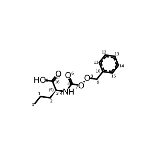 CCC[C@H](NC(=O)OOCc1ccccc1)C(=O)O